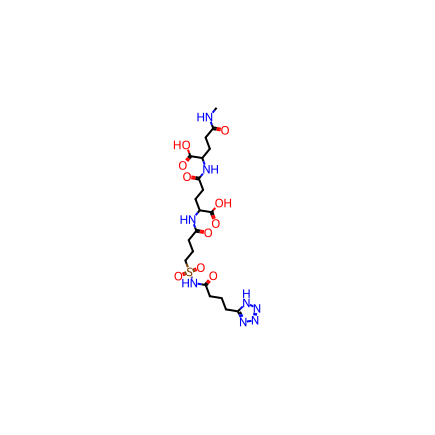 CNC(=O)CCC(NC(=O)CCC(NC(=O)CCCS(=O)(=O)NC(=O)CCCc1nnn[nH]1)C(=O)O)C(=O)O